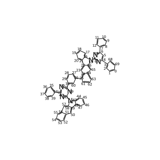 c1ccc(-c2cc(-c3ccccc3)nc(-n3c4ccccc4c4cc5c(-c6cccc(-c7nc(-c8ccccc8)nc(-n8c9ccccc9c9cc%10ccccc%10cc98)n7)c6)cccc5cc43)n2)cc1